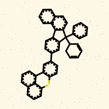 C1=CCC(C2(c3ccccc3)c3cc(-c4ccc5c(c4)-c4cccc6cccc(c46)S5)ccc3-c3c2ccc2ccccc32)C=C1